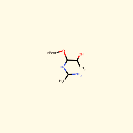 CCCCCOC(NC(C)N)C(C)O